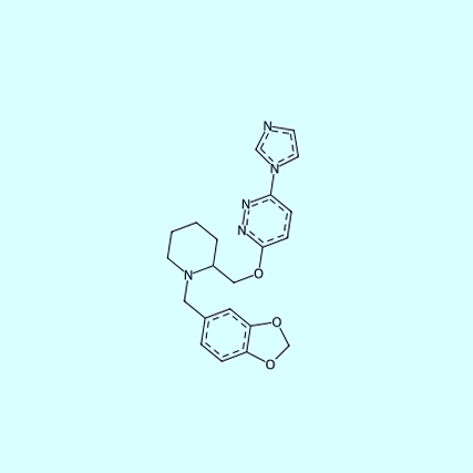 c1cn(-c2ccc(OCC3CCCCN3Cc3ccc4c(c3)OCO4)nn2)cn1